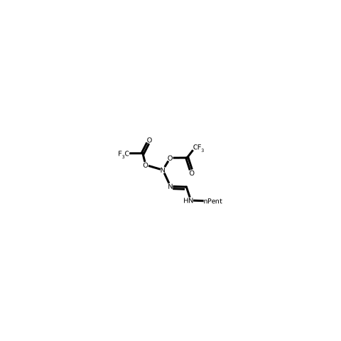 CCCCCNC=NN(OC(=O)C(F)(F)F)OC(=O)C(F)(F)F